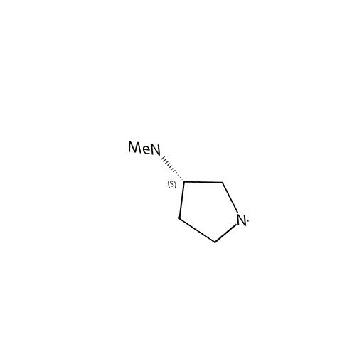 CN[C@H]1CC[N]C1